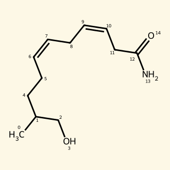 CC(CO)CC/C=C\C/C=C\CC(N)=O